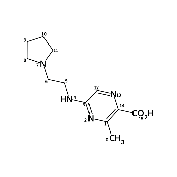 Cc1nc(NCCN2CCCC2)cnc1C(=O)O